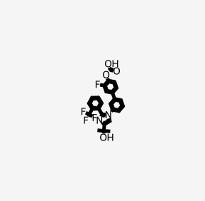 CC(C)(O)c1cn(-c2cccc(-c3ccc(OC(=O)O)c(F)c3)c2)c(-c2ccccc2C(F)(F)F)n1